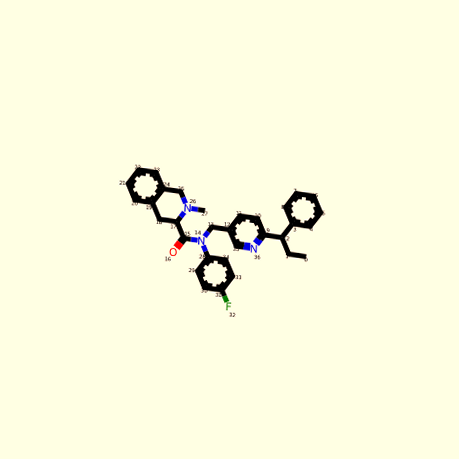 CCC(c1ccccc1)c1ccc(CN(C(=O)C2Cc3ccccc3CN2C)c2ccc(F)cc2)cn1